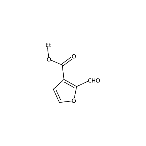 CCOC(=O)c1ccoc1C=O